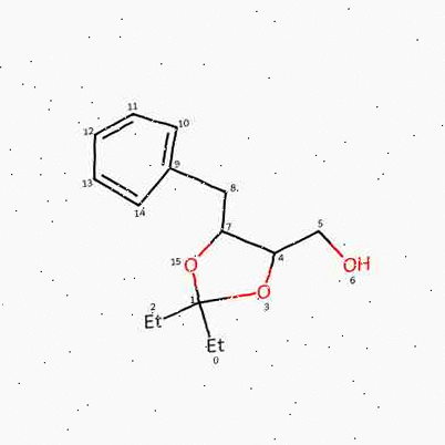 CCC1(CC)OC(CO)C(Cc2ccccc2)O1